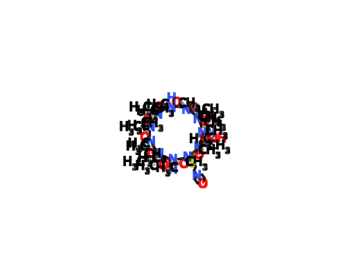 C/C=C/C[C@@H](C)[C@@H](O)[C@H]1C(=O)N[C@@H](CC)C(=O)N(C)[C@H](CSCCN2CCOCC2)C(=O)N(C)[C@@H](CC(C)(C)O)C(=O)N[C@@H](C(C)C)C(=O)N(C)[C@@H](CC(C)C)C(=O)N[C@@H](C)C(=O)N[C@H](C)C(=O)N(C)[C@@H](CC(C)C)C(=O)N(C)[C@@H](CC(C)C)C(=O)N(C)[C@@H](C(C)C)C(=O)N1C